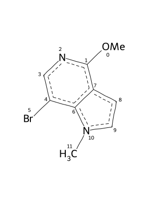 COc1ncc(Br)c2c1ccn2C